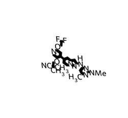 CNc1nc(C)cc(Nc2cc3cc(-c4cc(OCC(F)F)ncc4OCC(C)(C)C#N)ccn3n2)n1